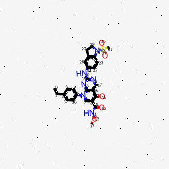 CCc1ccc(-n2cc(C(=O)NOC)c(=O)c3cnc(Nc4ccc5c(c4)CCN5S(C)(=O)=O)nc32)cc1